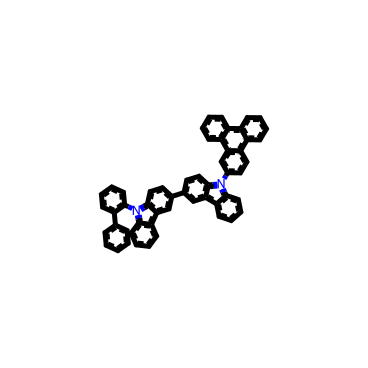 c1ccc(-c2ccccc2-n2c3ccccc3c3cc(-c4ccc5c(c4)c4ccccc4n5-c4ccc5c6ccccc6c6ccccc6c5c4)ccc32)cc1